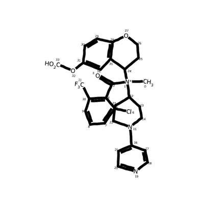 C[N+](C(=O)c1c(Cl)cccc1C(F)(F)F)(C1CCN(c2ccncc2)CC1)C1CCOc2ccc(OC(=O)O)cc21